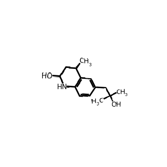 C[C]1CC(O)Nc2ccc(CC(C)(C)O)cc21